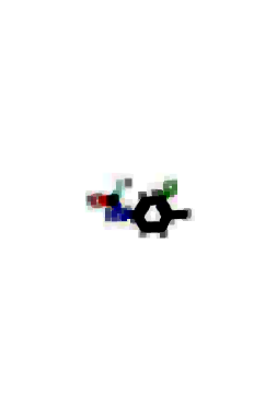 Cc1ccc(NC(=O)F)cc1Cl